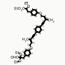 CCOC(=O)C(Cc1ccc(OCC=C(C)C#Cc2ccc(C#CC(C)=CCOc3ccc(CC(C=O)(OCC)OCC)cc3)cc2)cc1)OCC